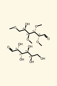 COC[C@@H](O)[C@H](OC)[C@H](OC)[C@H](C=O)OC.O=C[C@H](O)[C@@H](O)[C@@H](O)[C@H](O)CO